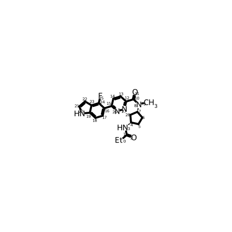 CCC(=O)N[C@H]1CC[C@@H](N(C)C(=O)c2ccc(-c3ccc4[nH]ccc4c3F)nn2)C1